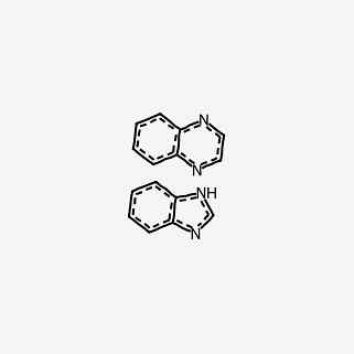 c1ccc2[nH]cnc2c1.c1ccc2nccnc2c1